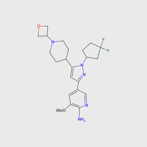 COc1cc(-c2cc(C3CCN(C4COC4)CC3)n(C3CCC(F)(F)C3)n2)cnc1N